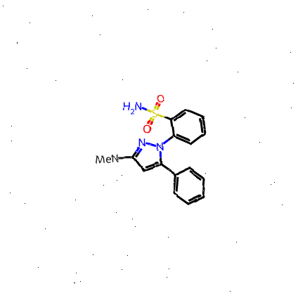 CNc1cc(-c2ccccc2)n(-c2ccccc2S(N)(=O)=O)n1